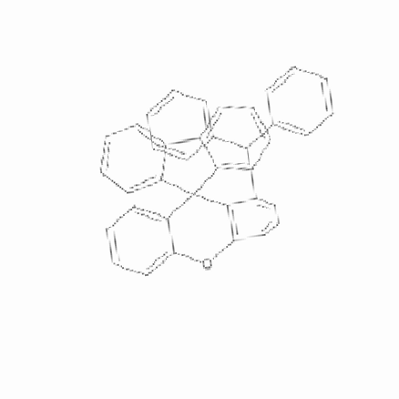 c1ccc(C(c2ccccc2)c2cccc3c2C2(c4ccccc4O3)c3ccccc3-c3ccccc32)cc1